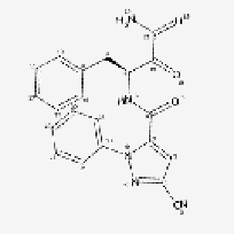 N#Cc1cc(C(=O)N[C@@H](Cc2ccccc2)C(=O)C(N)=O)n(-c2ccccc2)n1